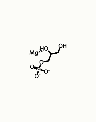 O=P([O-])([O-])OCC(O)CO.[Mg+2]